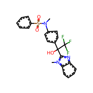 CN(c1ccc(C(O)(c2nc3ccccc3n2C)C(F)(F)F)cc1)S(=O)(=O)c1ccccc1